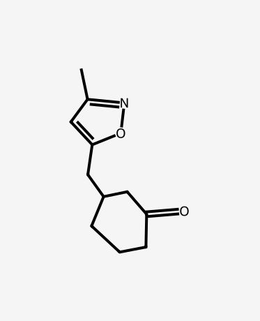 Cc1cc(CC2CCCC(=O)C2)on1